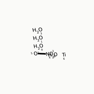 O.O.O.O.O=[N+]([O-])[O-].[Ti]